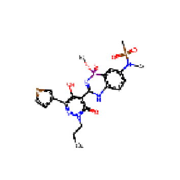 CCOP1(=O)N=C(c2c(O)c(-c3ccsc3)nn(CCC(C)(C)C)c2=O)Nc2ccc(N(C(C)=O)S(C)(=O)=O)cc21